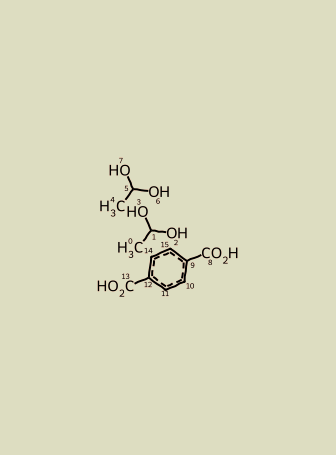 CC(O)O.CC(O)O.O=C(O)c1ccc(C(=O)O)cc1